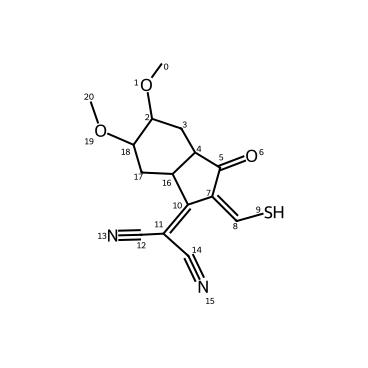 COC1CC2C(=O)/C(=C\S)C(=C(C#N)C#N)C2CC1OC